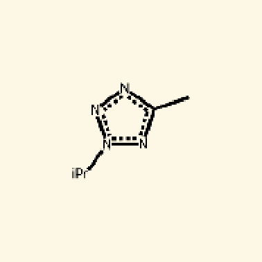 Cc1nnn(C(C)C)n1